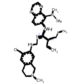 C=CC(=C/N=C)/C(=N\CNc1cc2c(cc1Cl)CCN(C)C2)Nc1ccc2nccnc2c1N(C)SC